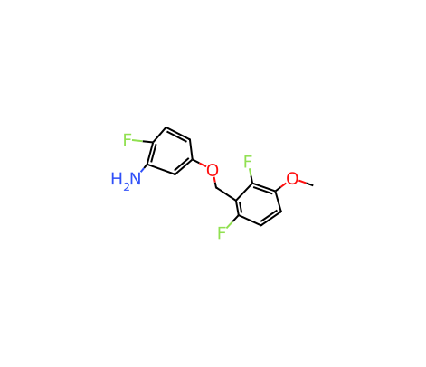 COc1ccc(F)c(COc2ccc(F)c(N)c2)c1F